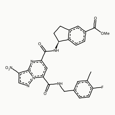 COC(=O)c1ccc2c(c1)CC[C@@H]2NC(=O)c1cc(C(=O)NCc2ccc(F)c(C)c2)n2ncc([N+](=O)[O-])c2n1